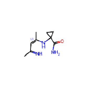 CC(=N)/C=C(/C)NC1(C(N)=O)CC1